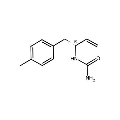 C=C[C@@H](Cc1ccc(C)cc1)NC(N)=O